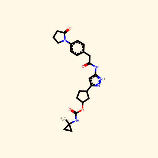 CC1(NC(=O)OC2CCC(c3cc(NC(=O)Cc4ccc(N5CCCC5=O)cc4)[nH]n3)C2)CC1